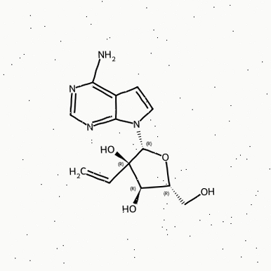 C=C[C@@]1(O)[C@H](O)[C@@H](CO)O[C@H]1n1ccc2c(N)ncnc21